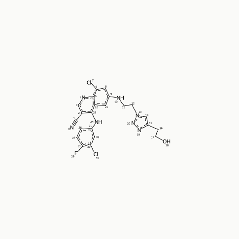 N#Cc1cnc2c(Cl)cc(NCCn3cc(CCO)nn3)cc2c1Nc1ccc(F)c(Cl)c1